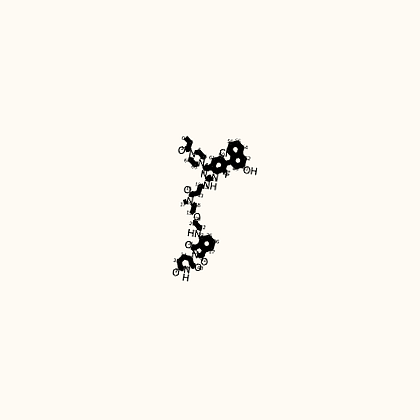 CCC(=O)N1CCN(c2nc(NCCC(=O)N(C)CCOCCNc3cccc4c3C(=O)N(C3CCC(=O)NC3=O)C4=O)nc3c(F)c(-c4cc(O)cc5ccccc45)c(Cl)cc23)CC1